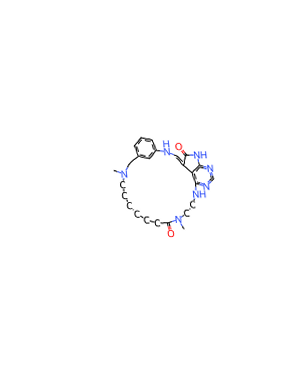 CN1CCCCCCC(=O)N(C)CCNc2ncnc3c2/C(=C/Nc2cccc(c2)C1)C(=O)N3